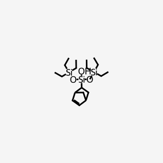 CC[Si](CC)(CC)O[Si](O)(O[Si](CC)(CC)CC)C1CC2C=CC1C2